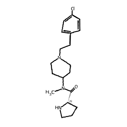 CN(C(=O)[C@@H]1CCCN1)C1CCN(CCc2ccc(Cl)cc2)CC1